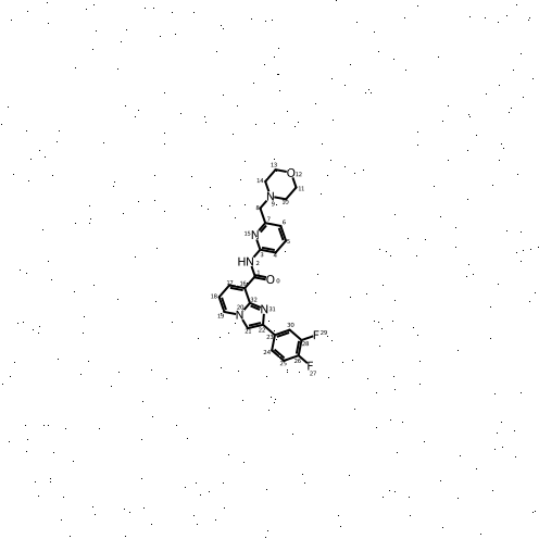 O=C(Nc1cccc(CN2CCOCC2)n1)c1cccn2cc(-c3ccc(F)c(F)c3)nc12